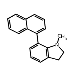 CN1CCc2cccc(-c3cccc4ccccc34)c21